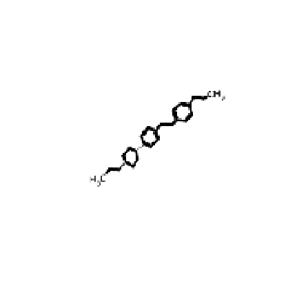 CCCc1ccc(CCc2ccc([C@H]3CC[C@H](CCC)CC3)cc2)cc1